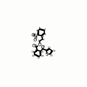 O=C(OCCc1ccccc1[N+](=O)[O-])c1ccccc1C(=O)c1cccs1